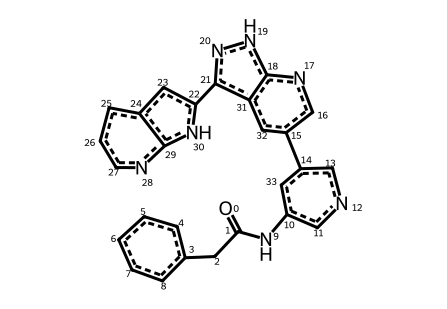 O=C(Cc1ccccc1)Nc1cncc(-c2cnc3[nH]nc(-c4cc5cccnc5[nH]4)c3c2)c1